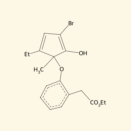 CCOC(=O)Cc1ccccc1OC1(C)C(CC)=CC(Br)=C1O